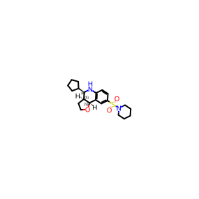 O=S(=O)(c1ccc2c(c1)[C@H]1OCC[C@H]1[C@@H](C1CCCC1)N2)N1CCCCC1